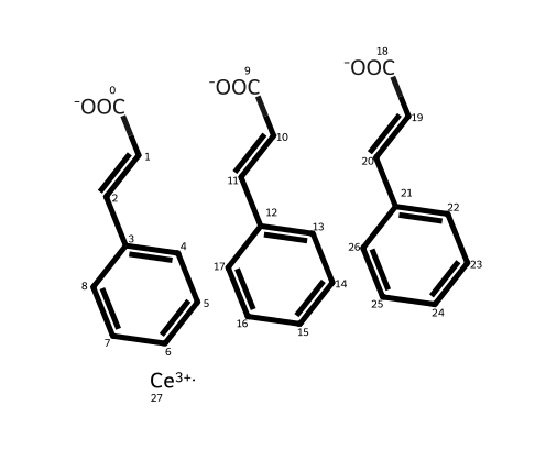 O=C([O-])C=Cc1ccccc1.O=C([O-])C=Cc1ccccc1.O=C([O-])C=Cc1ccccc1.[Ce+3]